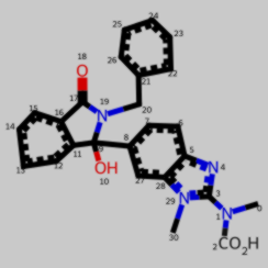 CN(C(=O)O)c1nc2ccc(C3(O)c4ccccc4C(=O)N3Cc3ccccc3)cc2n1C